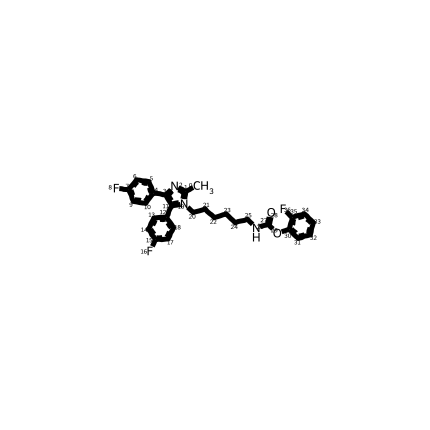 Cc1nc(-c2ccc(F)cc2)c(-c2ccc(F)cc2)n1CCCCCCNC(=O)Oc1ccccc1F